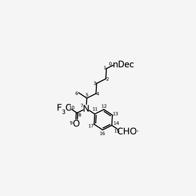 CCCCCCCCCCCCCCC(C)N(C(=O)C(F)(F)F)c1ccc([C]=O)cc1